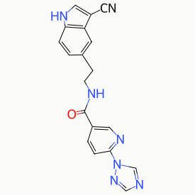 N#Cc1c[nH]c2ccc(CCNC(=O)c3ccc(-n4cncn4)nc3)cc12